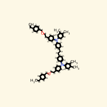 C=Cc1ccc(COCCc2ccc(N(c3ccc(CCc4ccc(N(c5ccc(CCOCc6ccc(C=C)cc6)cc5)c5ccc(C)c(C)c5)cc4)cc3)c3ccc(C)c(C)c3)cc2)cc1